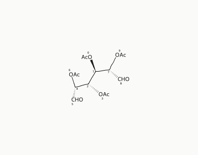 CC(=O)O[C@H]([C@H](OC(C)=O)[C@H](C=O)OC(C)=O)[C@@H](C=O)OC(C)=O